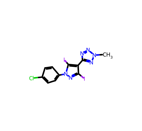 Cn1nnc(-c2c(I)nn(-c3ccc(Cl)cc3)c2I)n1